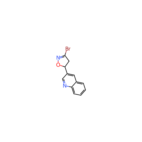 BrC1=NOC(c2cnc3ccccc3c2)C1